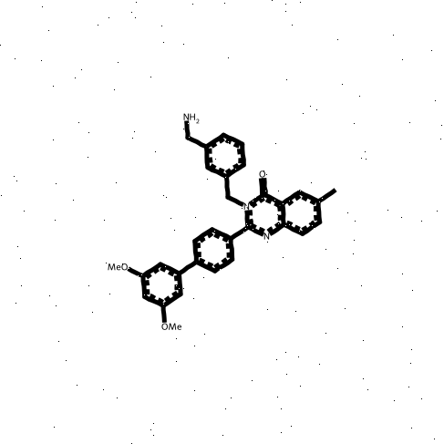 COc1cc(OC)cc(-c2ccc(-c3nc4ccc(C)cc4c(=O)n3Cc3cccc(CN)c3)cc2)c1